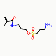 C=C(C)C(=O)NCCCOS(=O)(=O)CCCN